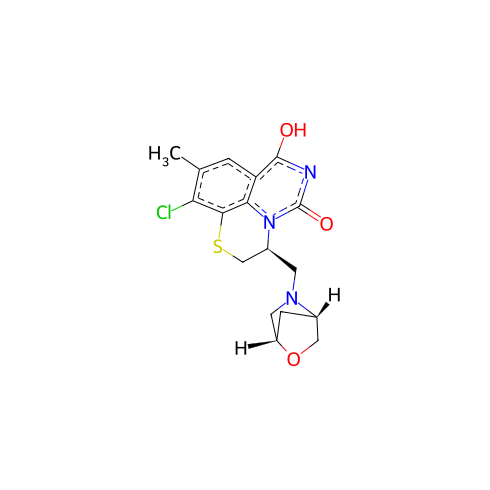 Cc1cc2c(O)nc(=O)n3c2c(c1Cl)SC[C@@H]3CN1C[C@@H]2C[C@H]1CO2